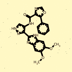 COc1cc2nc(-c3n[nH]cc3NC(=O)c3ncoc3-c3ccccc3)[nH]c2cc1OC